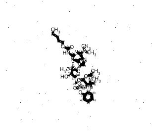 CCCCCOC(=O)Nc1nc(N(C)C)c2ncn([C@@H]3O[C@H](COP(=O)(N[C@H](C(=O)OC(C)C)C(F)(F)F)Oc4ccccc4)[C@@H](O)[C@@]3(C)F)c2n1